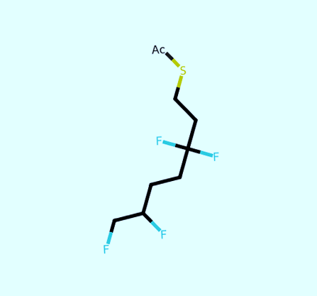 CC(=O)SCCC(F)(F)CCC(F)CF